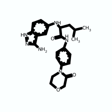 CC(C)CC(Nc1ccc2[nH]nc(N)c2c1)C(=O)Nc1ccc(N2CCOCC2=O)cc1